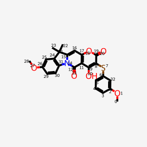 COc1cccc(Sc2c(O)c3c(=O)n4c(cc3oc2=O)C(C)(C)c2cc(OC)ccc2-4)c1